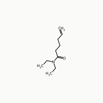 C=CCCCC(=O)N(CC)CC